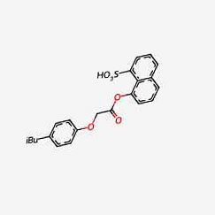 CCC(C)c1ccc(OCC(=O)Oc2cccc3cccc(S(=O)(=O)O)c23)cc1